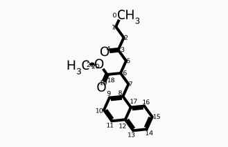 CCCC(=O)CC(Cc1cccc2ccccc12)C(=O)OC